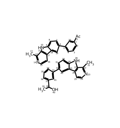 CC(=O)c1cccc(-c2ccc3[nH]c4c(C)nccc4c3c2)c1.Cc1nccc2c1[nH]c1ccc(-c3cccc(C(C)O)c3)cc12